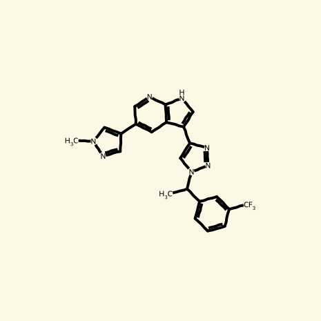 CC(c1cccc(C(F)(F)F)c1)n1cc(-c2c[nH]c3ncc(-c4cnn(C)c4)cc23)nn1